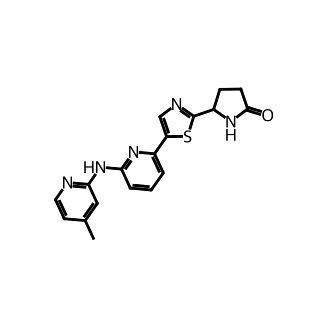 Cc1ccnc(Nc2cccc(-c3cnc(C4CCC(=O)N4)s3)n2)c1